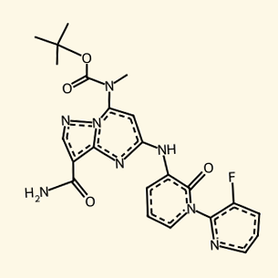 CN(C(=O)OC(C)(C)C)c1cc(Nc2cccn(-c3ncccc3F)c2=O)nc2c(C(N)=O)cnn12